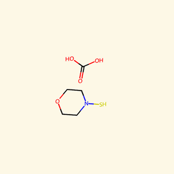 O=C(O)O.SN1CCOCC1